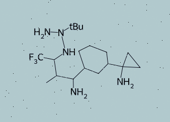 CC(C(N)C1CCCC(C2(N)CC2)C1)C(NN(N)C(C)(C)C)C(F)(F)F